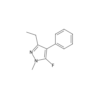 CCc1nn(C)c(F)c1-c1ccccc1